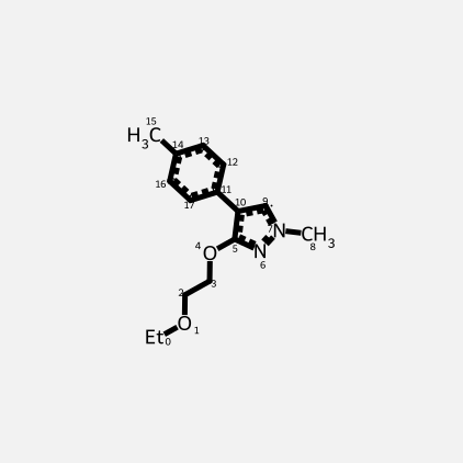 CCOCCOc1nn(C)[c]c1-c1ccc(C)cc1